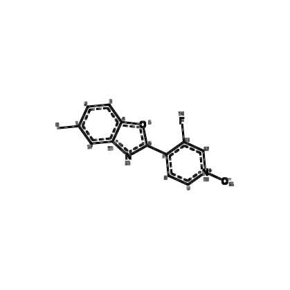 Cc1ccc2oc(-c3cc[n+]([O-])cc3F)nc2c1